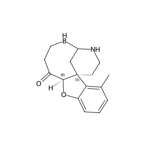 Cc1cccc2c1[C@@]13CCNC(BCCC(=O)[C@@H]1O2)C3